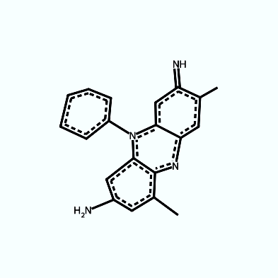 Cc1cc2nc3c(C)cc(N)cc3n(-c3ccccc3)c-2cc1=N